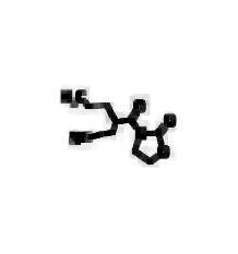 CCCC(CC#N)C(=O)N1CCOC1=O